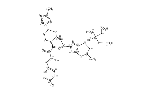 Cc1nnc([C@H]2CC[C@H](NC(=O)/C(F)=C/c3ccc(Cl)cc3)[C@H](NC(=O)c3nc4c(s3)CN(C)CC4)C2)o1.O=C(O)CC(O)(CC(=O)O)C(=O)O